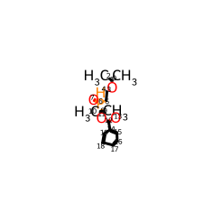 CC(C)OCC[PH](=O)C(C)(C)OC(=O)c1ccccc1